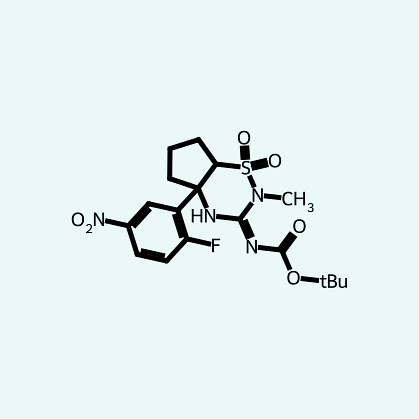 CN1/C(=N\C(=O)OC(C)(C)C)NC2(c3cc([N+](=O)[O-])ccc3F)CCCC2S1(=O)=O